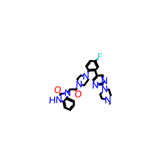 CN1CCN(c2ncc(-c3cc(F)ccc3N3CCN(C(=O)Cn4c(=O)[nH]c5ccccc54)CC3)cn2)CC1